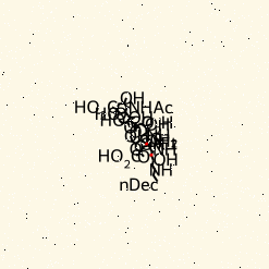 CCCCCCCCCCCCNCC(O)C1OC(OC(CO)C(O)C2OC(OC(CO)C(O)C3O[C@@](O)(C(=O)O)CC(O)C3NC(C)=O)(C(=O)O)CC(O)C2N)(C(=O)O)CC(O)C1NC(=O)CC